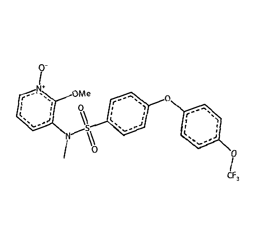 COc1c(N(C)S(=O)(=O)c2ccc(Oc3ccc(OC(F)(F)F)cc3)cc2)ccc[n+]1[O-]